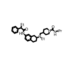 CCC(C(=O)Nc1ccc2c(c1)CC(N(CC)CC1CCN(C(=O)NC(C)C)CC1)CC2)c1ccccc1